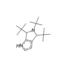 CC(C)(C)C1c2cc[nH]c2C(C(C)(C)C)N1C(C)(C)C